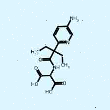 CCC(CC)(C(=O)NC(C(=O)O)C(=O)O)c1ccc(N)cn1